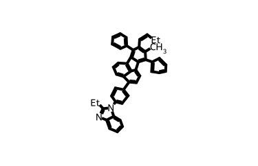 CC/C=C\c1c(C)c(-c2ccccc2)c2c(c1-c1ccccc1)-c1cccc3c(-c4ccc(-n5c(CC)nc6ccccc65)cc4)ccc-2c13